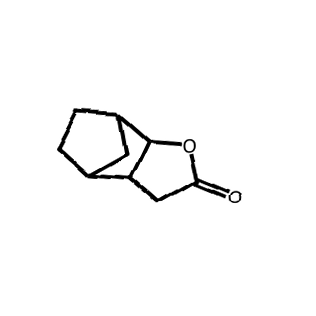 O=C1CC2C3CCC(C3)C2O1